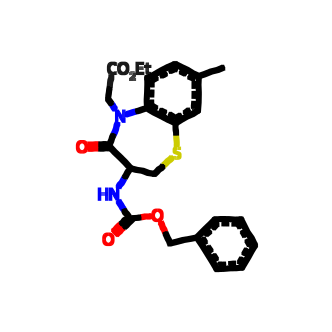 CCOC(=O)CN1C(=O)C(NC(=O)OCc2ccccc2)CSc2cc(C)ccc21